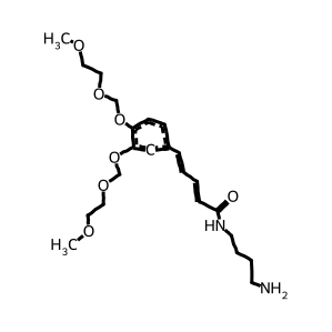 COCCOCOc1ccc(C=CC=CC(=O)NCCCCN)cc1OCOCCOC